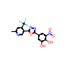 Cc1cc(C(F)(F)F)c(-c2nnc(-c3cc(O)c(O)c([N+](=O)[O-])c3)o2)cn1